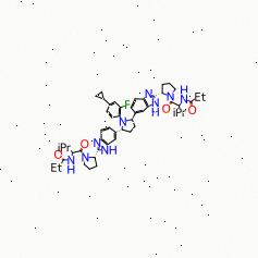 CCC(=O)N[C@H](C(=O)N1CCC[C@H]1c1nc2ccc([C@H]3CC[C@H](c4ccc5nc([C@@H]6CCCN6C(=O)[C@@H](NC(=O)CC)C(C)C)[nH]c5c4)N3c3ccc(C4CC4)cc3F)cc2[nH]1)C(C)C